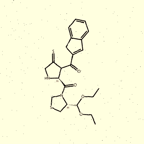 CCOC(OCC)[C@@H]1CSCN1C(=O)[C@H]1NCC(=S)C1C(=O)C1=Cc2ccccc2C1